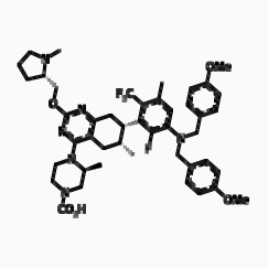 COc1ccc(CN(Cc2ccc(OC)cc2)c2cc(C)c(C(F)(F)F)c([C@H]3Cc4nc(OC[C@@H]5CCCN5C)nc(N5CCN(C(=O)O)C[C@@H]5C)c4C[C@H]3C)c2F)cc1